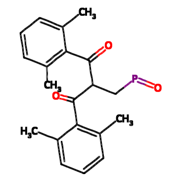 Cc1cccc(C)c1C(=O)C(CP=O)C(=O)c1c(C)cccc1C